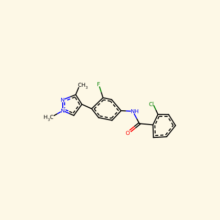 Cc1nn(C)cc1-c1ccc(NC(=O)c2ccccc2Cl)cc1F